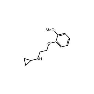 COc1ccccc1OCCNC1CC1